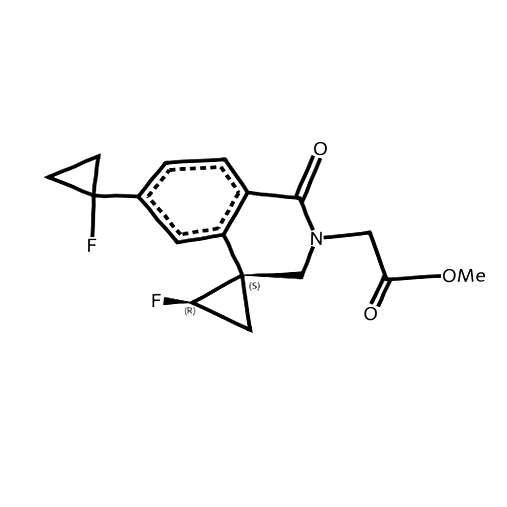 COC(=O)CN1C[C@]2(C[C@H]2F)c2cc(C3(F)CC3)ccc2C1=O